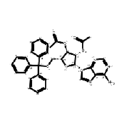 CC(=O)O[C@H]1[C@H](OC(C)=O)[C@@H](COC(c2ccccc2)(c2ccccc2)c2ccccc2)O[C@H]1n1cnc2c(N)ncnc21